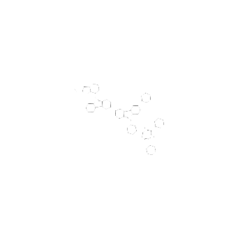 CC1(C)c2ccccc2-c2cc3c4cc(-c5ccc6c(c5)c5ccccc5n6-c5cccc6c7c(oc56)C=CCC7)ccc4n(-c4cccc(-c5nc(-c6ccccc6)nc(-c6ccccc6)n5)c4)c3cc21